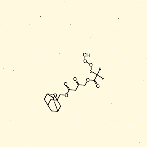 O=C(COC(=O)C(F)(F)SOOO)CC(=O)OCC12CC3CC(C1)C(=O)C(C3)C2